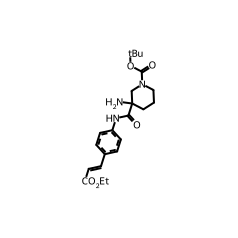 CCOC(=O)C=Cc1ccc(NC(=O)C2(N)CCCN(C(=O)OC(C)(C)C)C2)cc1